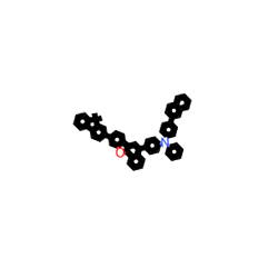 CC1(C)c2ccccc2-c2ccc(-c3ccc4c(c3)oc3c5ccccc5c(-c5ccc(N(c6ccccc6)c6ccc(-c7ccc8ccccc8c7)cc6)cc5)cc43)cc21